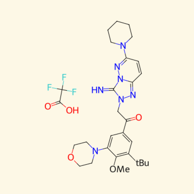 COc1c(N2CCOCC2)cc(C(=O)Cn2nc3ccc(N4CCCCC4)nn3c2=N)cc1C(C)(C)C.O=C(O)C(F)(F)F